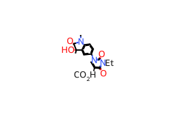 CCn1c(=O)c(C(=O)O)cn(-c2ccc3c(c2)C(C)(O)C(=O)N3C)c1=O